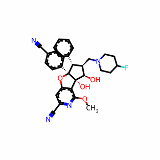 COc1nc(C#N)cc2c1[C@]1(O)[C@H](O)[C@H](CN3CCC(F)CC3)[C@@H](c3ccccc3)[C@]1(c1ccc(C#N)cc1)O2